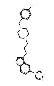 [AsH2]c1ccc(CN2CCN(CCCc3c[nH]c4ccc(-n5cnnc5)cc34)CC2)cc1